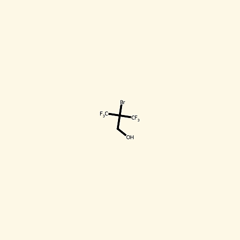 OCC(Br)(C(F)(F)F)C(F)(F)F